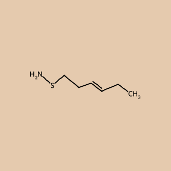 CC/C=C/CCSN